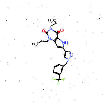 CCCn1c(=O)c2[nH]c(-c3cnn(Cc4cccc(C(F)(F)F)c4)c3)cc2n(CCC)c1=O